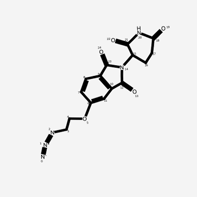 [N-]=[N+]=NCCOc1ccc2c(c1)C(=O)N(C1CCC(=O)NC1=O)C2=O